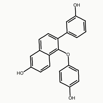 Oc1ccc(Oc2c(-c3cccc(O)c3)ccc3cc(O)ccc23)cc1